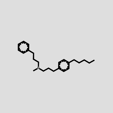 CCCCCc1ccc(CCCN(C)CCCc2ccccc2)cc1